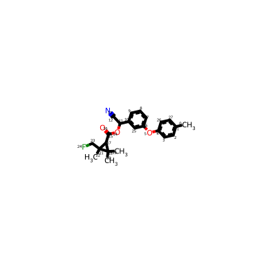 Cc1ccc(Oc2cccc(C(C#N)OC(=O)C3C(C)(C)C3(C)CF)c2)cc1